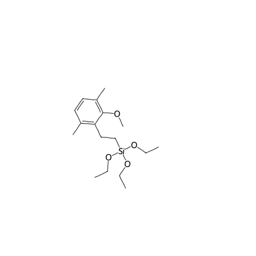 CCO[Si](CCc1c(C)ccc(C)c1OC)(OCC)OCC